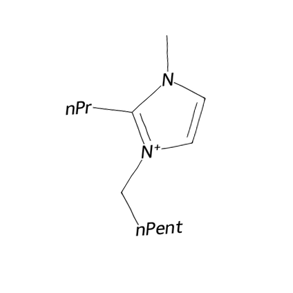 CCCCCC[n+]1ccn(C)c1CCC